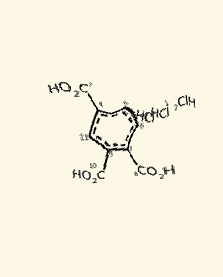 Cl.Cl.Cl.O=C(O)c1ccc(C(=O)O)c(C(=O)O)c1